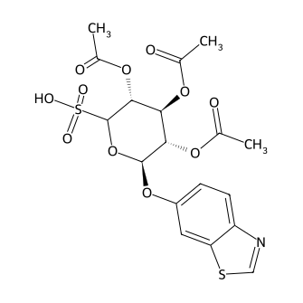 CC(=O)O[C@@H]1[C@@H](Oc2ccc3ncsc3c2)OC(S(=O)(=O)O)[C@H](OC(C)=O)[C@H]1OC(C)=O